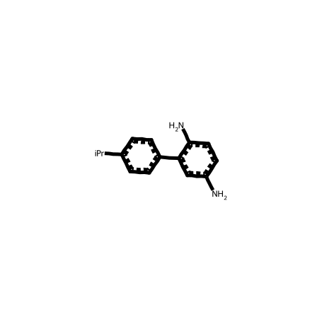 CC(C)c1ccc(-c2cc(N)ccc2N)cc1